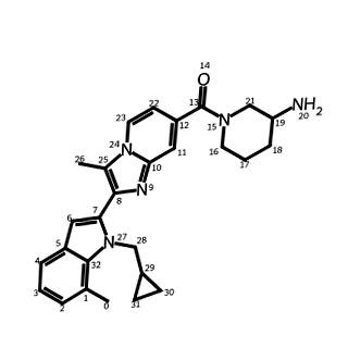 Cc1cccc2cc(-c3nc4cc(C(=O)N5CCCC(N)C5)ccn4c3C)n(CC3CC3)c12